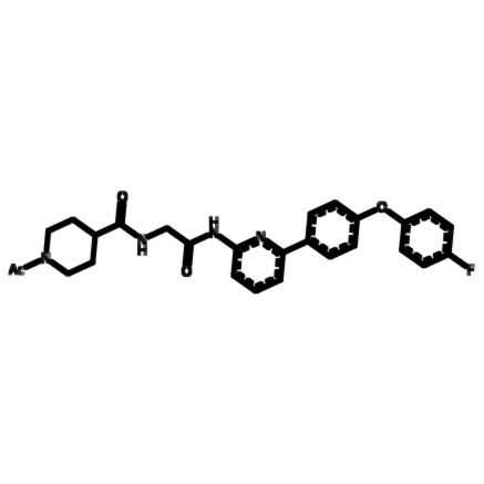 CC(=O)N1CCC(C(=O)NCC(=O)Nc2cccc(-c3ccc(Oc4ccc(F)cc4)cc3)n2)CC1